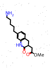 COC(=O)CC1Cc2ccc(CCCCCN)cc2NC1=O